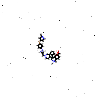 CC(=O)O[C@H]1CCCC1C1(C2CCN(CC3CN(c4ccc(Sc5ccnc(C)c5)cc4)C3)CC2)CN(C)Cc2ccccc21